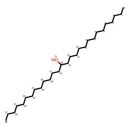 CCCCCCCCCCCCCCC(O)CCCCCCCCCCCCC